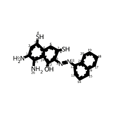 Nc1cc(S)c2cc(S)c(/N=N/c3cccc4ccccc34)c(O)c2c1N